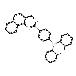 c1ccc2c(c1)Oc1ccccc1N2c1ccc(-c2ncc3ccc4ccccc4c3n2)cc1